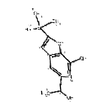 CC(O)c1cc2cc([Si](C)(C)C)oc2c(Cl)n1